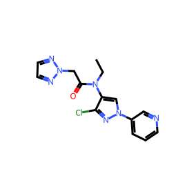 CCN(C(=O)Cn1nccn1)c1cn(-c2cccnc2)nc1Cl